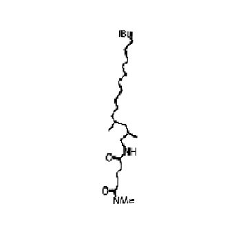 CCC(C)CCCCCCCCCCC(C)CC(C)CNC(=O)CCCC(=O)NC